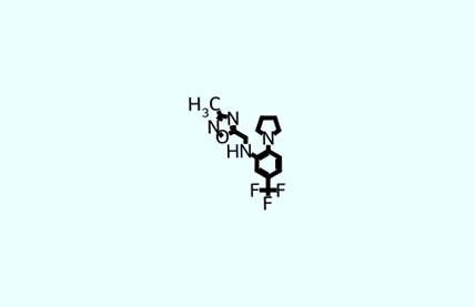 Cc1noc(CNc2cc(C(F)(F)F)ccc2N2CCCC2)n1